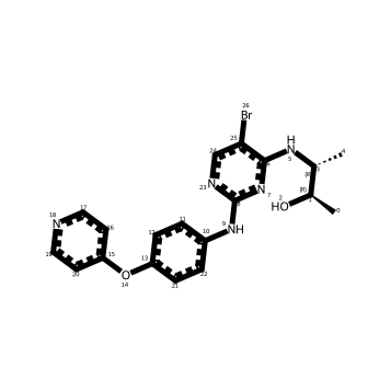 C[C@@H](O)[C@@H](C)Nc1nc(Nc2ccc(Oc3ccncc3)cc2)ncc1Br